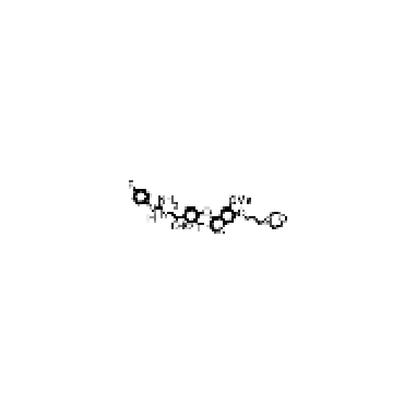 COc1cc2c(Oc3ccc(/C(C=O)=C/N=C(\N)Nc4ccc(F)cc4)cc3F)ccnc2cc1OCCCN1CCOCC1